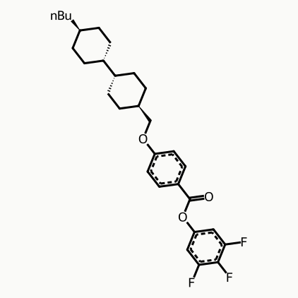 CCCC[C@H]1CC[C@H]([C@H]2CC[C@H](COc3ccc(C(=O)Oc4cc(F)c(F)c(F)c4)cc3)CC2)CC1